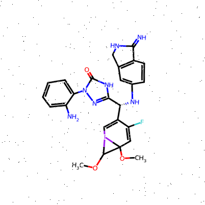 COC1I2C=C([C@@H](Nc3ccc4c(c3)CNC4=N)c3nn(-c4ccccc4N)c(=O)[nH]3)C(F)=CC12OC